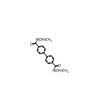 CN(O)C(=O)c1ccc(-c2ccc(C(=O)N(C)O)cc2)cc1